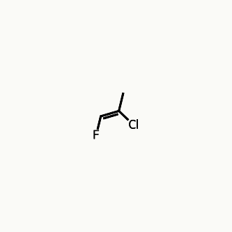 CC(Cl)=CF